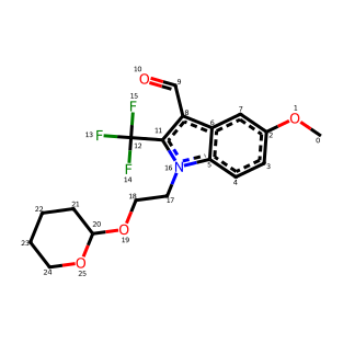 COc1ccc2c(c1)c(C=O)c(C(F)(F)F)n2CCOC1CCCCO1